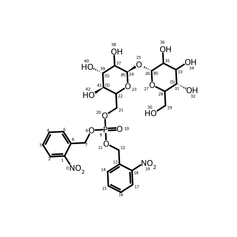 O=[N+]([O-])c1ccccc1COP(=O)(OCc1ccccc1[N+](=O)[O-])OCC1O[C@H](O[C@H]2OC(CO)[C@@H](O)C(O)C2O)C(O)[C@@H](O)[C@@H]1O